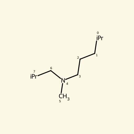 CC(C)CCCN(C)CC(C)C